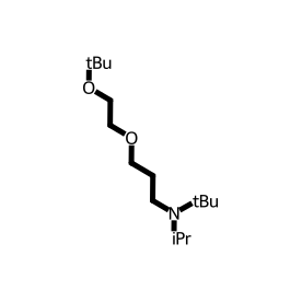 CC(C)N(CCCOCCOC(C)(C)C)C(C)(C)C